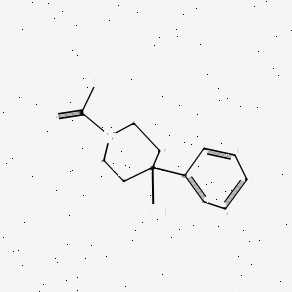 CC1(c2ccccc2)CCN(C(=O)C(F)(F)F)CC1